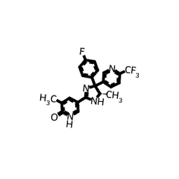 Cc1cc(C2=NC(c3ccc(F)cc3)(c3ccc(C(F)(F)F)nc3)[C@H](C)N2)c[nH]c1=O